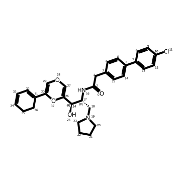 O=C(Cc1ccc(-c2ccc(Cl)cc2)cc1)N[C@H](CN1CCCC1)[C@@H](O)C1=COC=C(C2=CC=CCC2)O1